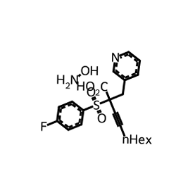 CCCCCCC#CC(Cc1cccnc1)(C(=O)O)S(=O)(=O)c1ccc(F)cc1.NO